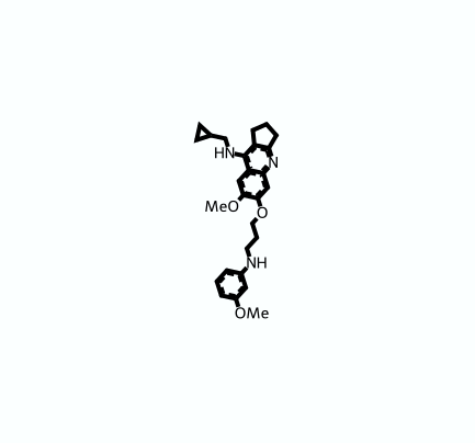 COc1cccc(NCCCOc2cc3nc4c(c(NCC5CC5)c3cc2OC)CCC4)c1